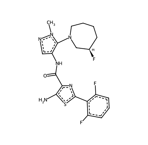 Cn1ncc(NC(=O)c2nc(-c3c(F)cccc3F)sc2N)c1N1CCCC[C@@H](F)C1